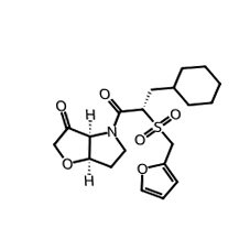 O=C1CO[C@@H]2CCN(C(=O)[C@H](CC3CCCCC3)S(=O)(=O)Cc3ccco3)[C@H]12